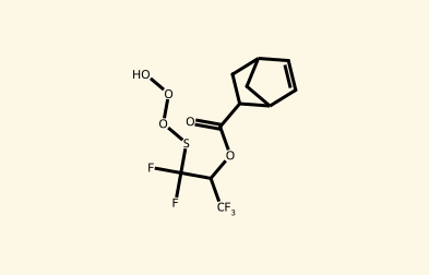 O=C(OC(C(F)(F)F)C(F)(F)SOOO)C1CC2C=CC1C2